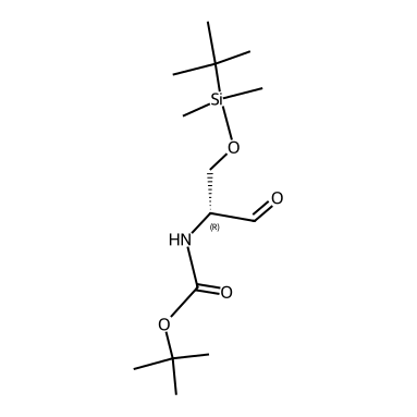 CC(C)(C)OC(=O)N[C@@H](C=O)CO[Si](C)(C)C(C)(C)C